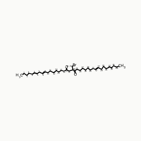 CCCCCCCCC=CCCCCCCCC(=O)CC(CBr)C(=O)CCCCCCCC=CCCCCCCCC